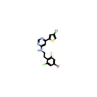 Fc1cc(Br)cc(F)c1CCNc1cc(-c2cc(Cl)cs2)ncn1